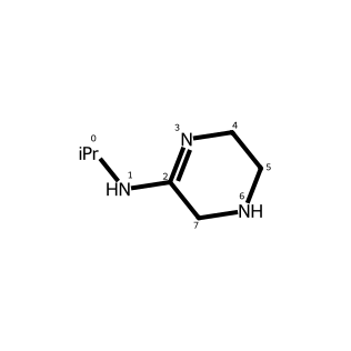 CC(C)NC1=NCCNC1